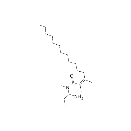 CCCCCCCCCCCCC(C)=C(C)C(=O)N(C)C(N)CC